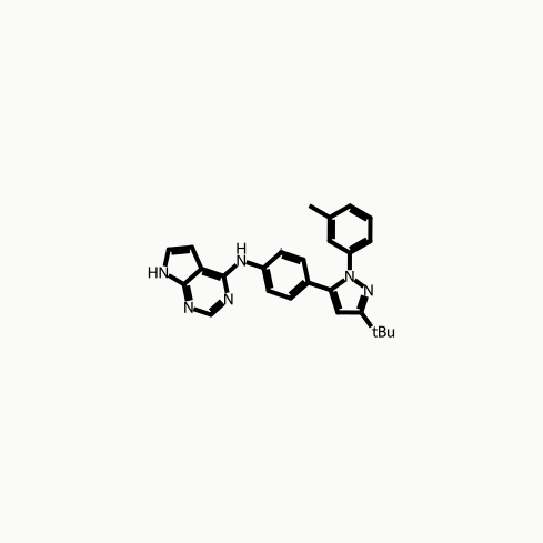 Cc1cccc(-n2nc(C(C)(C)C)cc2-c2c[c]c(Nc3ncnc4[nH]ccc34)cc2)c1